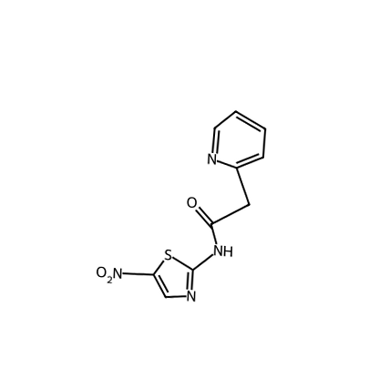 O=C(Cc1ccccn1)Nc1ncc([N+](=O)[O-])s1